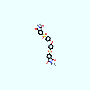 CN1C(=O)c2ccc(S(=O)(=O)c3ccc(Oc4ccc(S(=O)(=O)c5ccc6c(c5)C(=O)N(C)C6=O)cc4)cc3)cc2C1=O